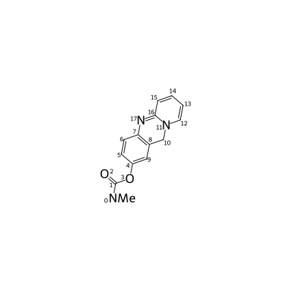 CNC(=O)Oc1ccc2c(c1)CN1C=CC=CC1=N2